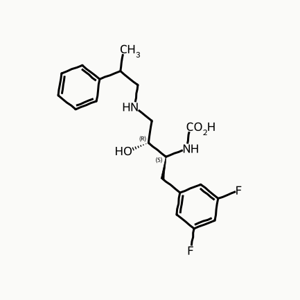 CC(CNC[C@@H](O)[C@H](Cc1cc(F)cc(F)c1)NC(=O)O)c1ccccc1